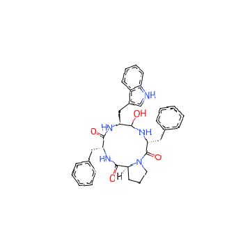 O=C1N[C@@H](Cc2c[nH]c3ccccc23)C(O)N[C@H](Cc2ccccc2)C(=O)N2CCC[C@H]2C(=O)N[C@@H]1Cc1ccccc1